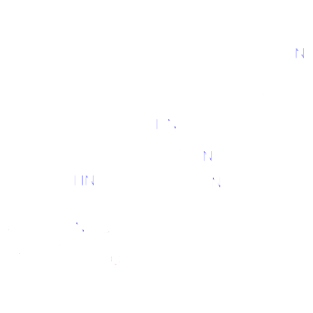 CNc1cc2c(NC(C)c3cccc(C#N)c3C)nnc(C)c2cc1C(=O)N1CCC2(CC2)C1